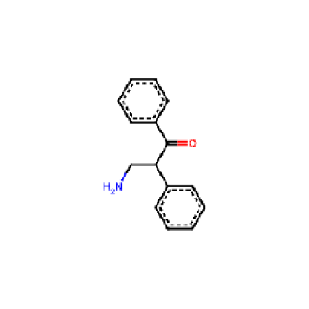 NCC(C(=O)c1ccccc1)c1ccccc1